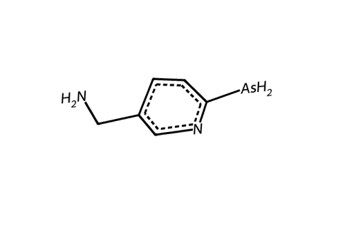 NCc1ccc([AsH2])nc1